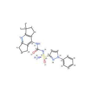 CC1(C)CCc2c1nc1c(c2NC(=O)N=[S@@](N)(=O)c2ccn(-c3ccccc3)n2)CCC1